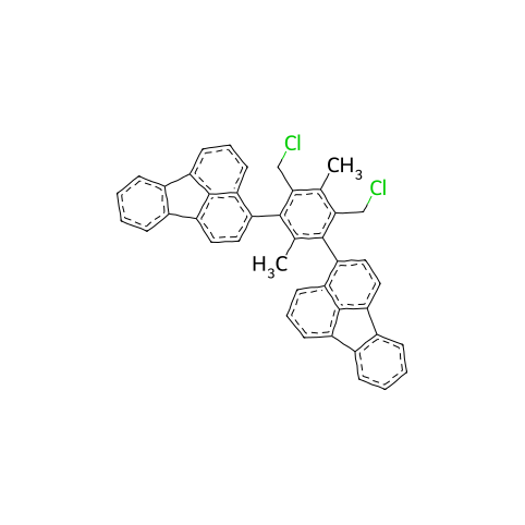 Cc1c(CCl)c(-c2ccc3c4c(cccc24)-c2ccccc2-3)c(C)c(-c2ccc3c4c(cccc24)-c2ccccc2-3)c1CCl